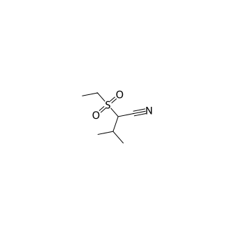 CCS(=O)(=O)C(C#N)C(C)C